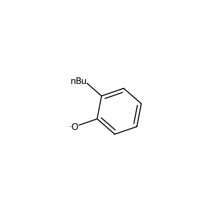 CCCCc1ccccc1[O]